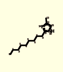 CCCCCCCCCc1[nH]cc(C)p1